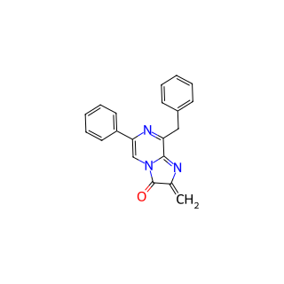 C=C1N=C2C(Cc3ccccc3)=NC(c3ccccc3)=CN2C1=O